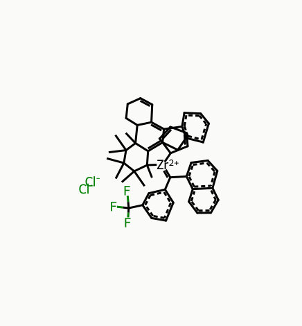 CC12C(=C3Cc4ccccc4C3=C3C=CCCC31)[C](C)([Zr+2](=[C](c1cccc(C(F)(F)F)c1)c1cccc3ccccc13)[CH]1C=CC=C1)C(C)(C)C(C)(C)C2(C)C.[Cl-].[Cl-]